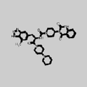 Cc1cc(CC(NC(=O)N2CCC(n3c(=O)[nH]c4ccccc4c3=O)CC2)C(=O)N2CCC(N3CCCCC3)CC2)cc2nn[nH]c12